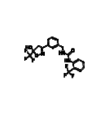 O=C(NCc1cccc(C2=NOC(O)(C(F)(F)F)C2)c1)Nc1ccccc1C(F)(F)F